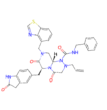 C=CCN1CC(=O)N2[C@@H](Cc3ccc4c(c3)CC(=O)N4)C(=O)N(Cc3cccc4scnc34)C[C@@H]2N1C(=O)NCc1ccccc1